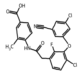 Cc1cc(C(=O)O)ccc1NC(=O)Cc1ccc(Cl)c(Oc2cc(Cl)cc(C#N)c2)c1F